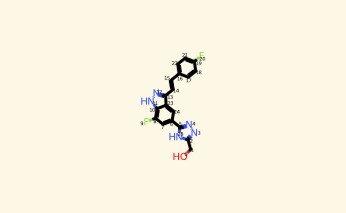 OCc1nnc(-c2cc(F)c3[nH]nc(C=Cc4ccc(F)cc4)c3c2)[nH]1